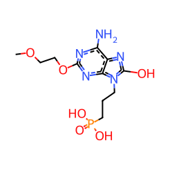 COCCOc1nc(N)c2nc(O)n(CCCP(=O)(O)O)c2n1